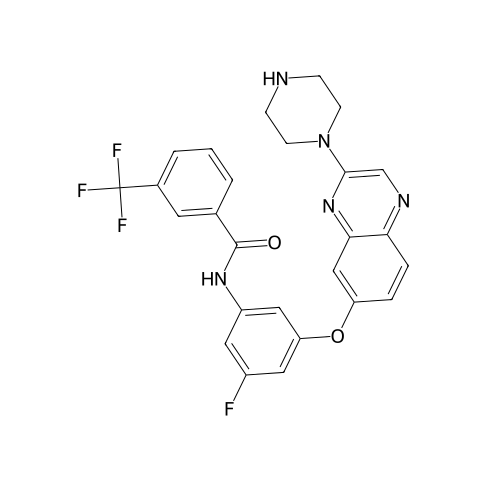 O=C(Nc1cc(F)cc(Oc2ccc3ncc(N4CCNCC4)nc3c2)c1)c1cccc(C(F)(F)F)c1